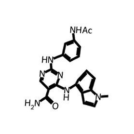 CC(=O)Nc1cccc(Nc2ncc(C(N)=O)c(Nc3cccc4c3ccn4C)n2)c1